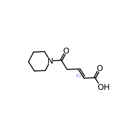 O=C(O)/C=C/CC(=O)N1CCCCC1